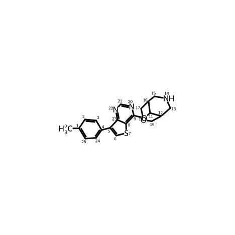 Cc1ccc(-c2csc3c(OC4C5CNCC4COC5)ncnc23)cc1